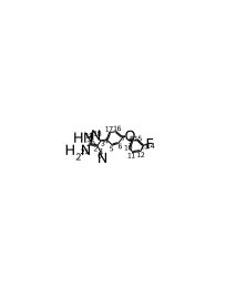 N#Cc1c(-c2ccc(Oc3cccc(F)c3)cc2)n[nH]c1N